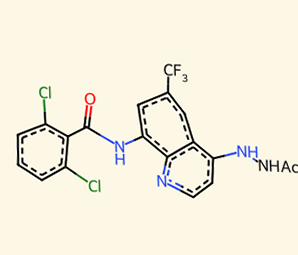 CC(=O)NNc1ccnc2c(NC(=O)c3c(Cl)cccc3Cl)cc(C(F)(F)F)cc12